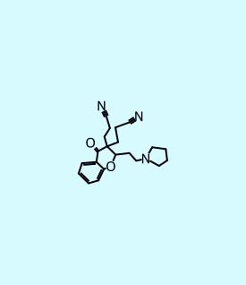 N#CCCC1(CCC#N)C(=O)c2ccccc2OC1CCN1CCCC1